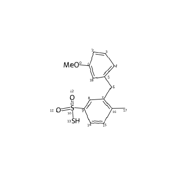 COc1cccc(Cc2cc(S(=O)(=O)S)ccc2C)c1